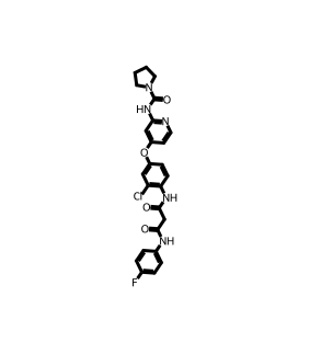 O=C(CC(=O)Nc1ccc(Oc2ccnc(NC(=O)N3CCCC3)c2)cc1Cl)Nc1ccc(F)cc1